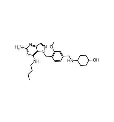 CCCCNc1nc(N)nc2cnn(Cc3ccc(CNC4CCC(O)CC4)cc3OC)c12